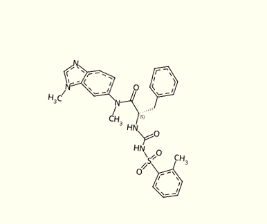 Cc1ccccc1S(=O)(=O)NC(=O)N[C@@H](Cc1ccccc1)C(=O)N(C)c1ccc2ncn(C)c2c1